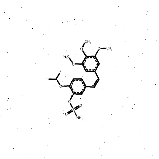 COc1cc(/C=C\c2ccc(OC(F)F)c(OS(N)(=O)=O)c2)cc(OC)c1OC